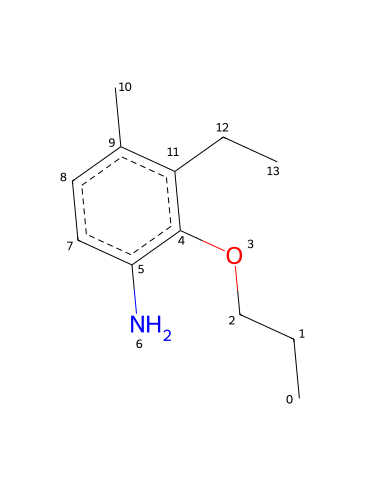 CCCOc1c(N)ccc(C)c1CC